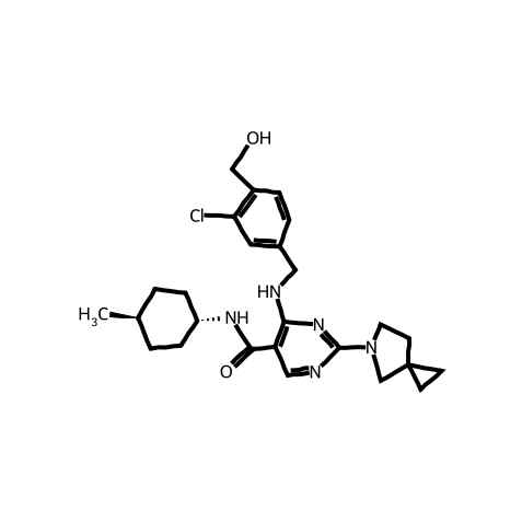 C[C@H]1CC[C@H](NC(=O)c2cnc(N3CCC4(CC4)C3)nc2NCc2ccc(CO)c(Cl)c2)CC1